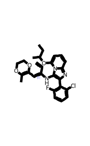 C=C/C(=C\C1=C(C)OCCO1)Nc1c(-c2c(F)cccc2Cl)nc2cccc(OC(C)CC)n12